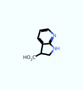 O=C(O)C1CNc2ncccc21